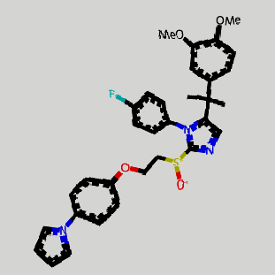 COc1ccc(C(C)(C)c2cnc([S+]([O-])CCOc3ccc(-n4cccc4)cc3)n2-c2ccc(F)cc2)cc1OC